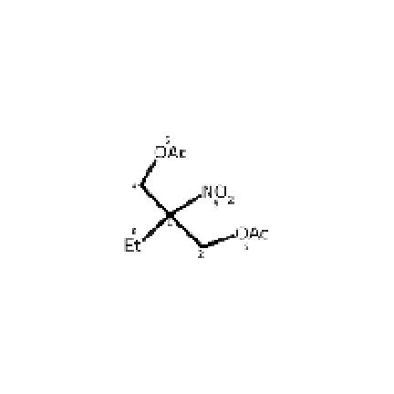 CCC(COC(C)=O)(COC(C)=O)[N+](=O)[O-]